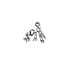 CNS(=O)(=O)c1cccc(Nc2nc(-c3cccs3)nc3cn[nH]c23)c1